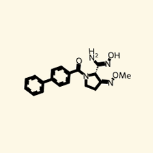 CON=C1CCN(C(=O)c2ccc(-c3ccccc3)cc2)[C@@H]1C(N)=NO